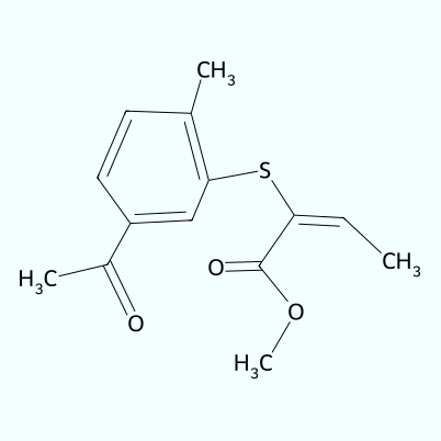 CC=C(Sc1cc(C(C)=O)ccc1C)C(=O)OC